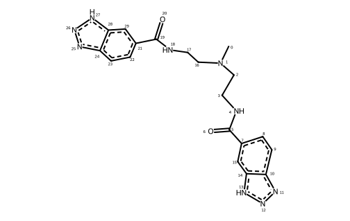 CN(CCNC(=O)c1ccc2nn[nH]c2c1)CCNC(=O)c1ccc2nn[nH]c2c1